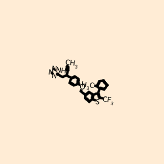 CC#CC(Cc1nnn[nH]1)c1ccc(OCc2ccc3sc(C(F)(F)F)c(-c4ccccc4C)c3c2)cc1